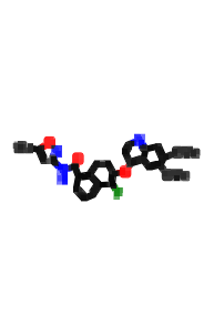 COc1cc2nccc(Oc3ccc4c(C(=O)Nc5cc(C(C)(C)C)on5)cccc4c3F)c2cc1OC